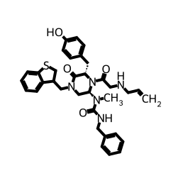 C=CCNCC(=O)N1[C@@H](N(C)C(=O)NCc2ccccc2)CN(CC2CSc3ccccc32)C(=O)[C@@H]1Cc1ccc(O)cc1